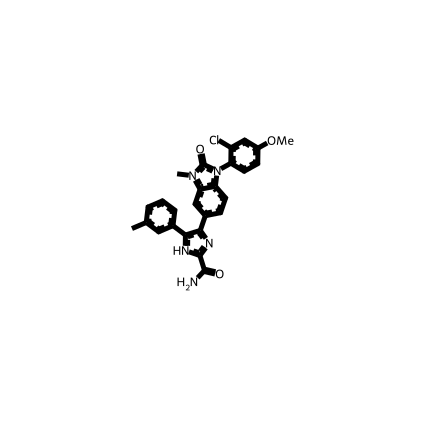 COc1ccc(-n2c(=O)n(C)c3cc(-c4nc(C(N)=O)[nH]c4-c4cccc(C)c4)ccc32)c(Cl)c1